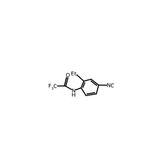 [C-]#[N+]c1ccc(NC(=O)C(F)(F)F)c(CC)c1